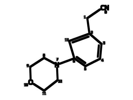 N#CCc1cccc(N2CCOCC2)c1